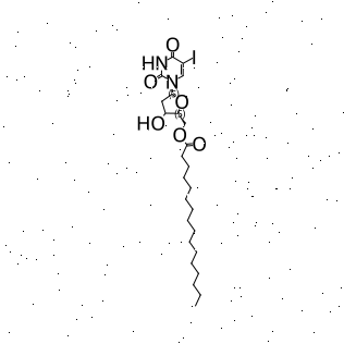 CCCCCCCCCCCCCCCC(=O)OC[C@@H]1O[C@H](n2cc(I)c(=O)[nH]c2=O)CC1O